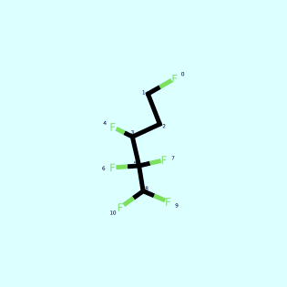 FCCC(F)C(F)(F)C(F)F